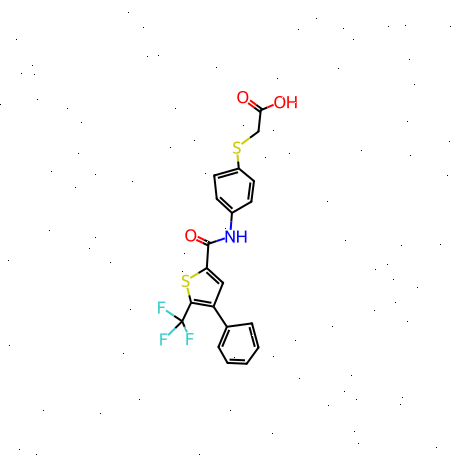 O=C(O)CSc1ccc(NC(=O)c2cc(-c3ccccc3)c(C(F)(F)F)s2)cc1